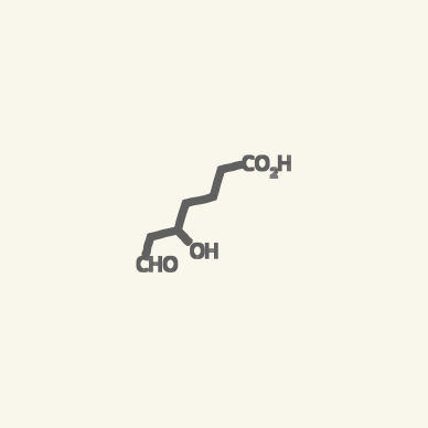 O=CCC(O)CCCC(=O)O